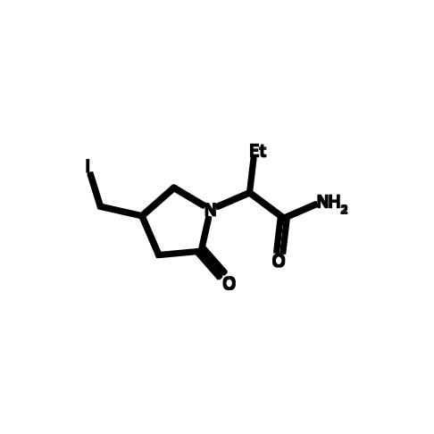 CCC(C(N)=O)N1CC(CI)CC1=O